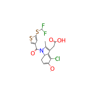 COC1=CCC2C(=C1Cl)C(CC(=O)O)=C(C)N2C(=O)c1csc(SC(F)F)c1